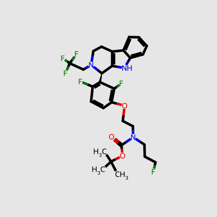 CC(C)(C)OC(=O)N(CCCF)CCOc1ccc(F)c([C@@H]2c3[nH]c4ccccc4c3CCN2CC(F)(F)F)c1F